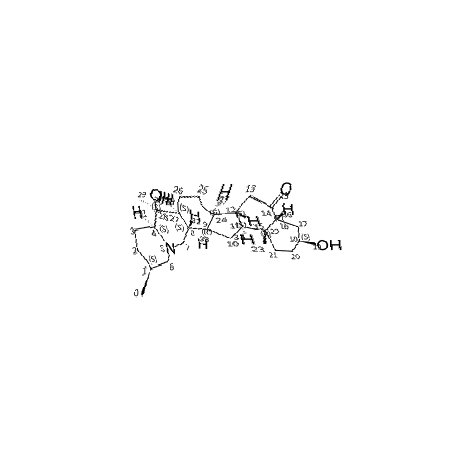 C[C@H]1CC[C@@H]2N(C1)C[C@H]1[C@@H]3C[C@H]4[C@@H](CC(=O)[C@@H]5C[C@@H](O)CC[C@@]54C)[C@@H]3CC[C@@H]1[C@]2(C)O